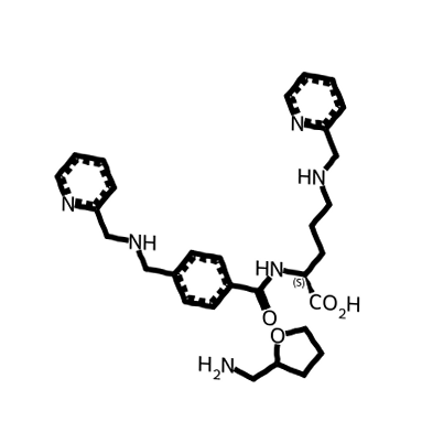 NCC1CCCO1.O=C(N[C@@H](CCCNCc1ccccn1)C(=O)O)c1ccc(CNCc2ccccn2)cc1